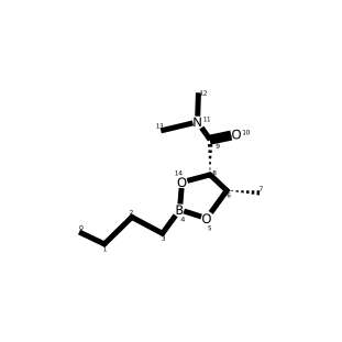 CCCCB1O[C@@H](C)[C@@H](C(=O)N(C)C)O1